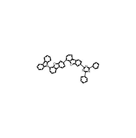 c1ccc(-c2nc(-c3ccccc3)nc(-c3ccc4c(c3)oc3c(-c5ccc6c(c5)oc5c(-n7c8ccccc8c8ccccc87)cccc56)cccc34)n2)cc1